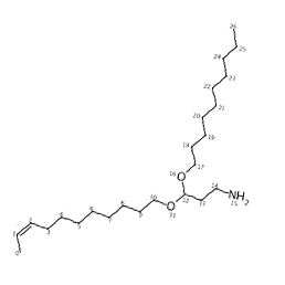 C/C=C\CCCCCCCCOC(CCN)OCCCCCCCCCC